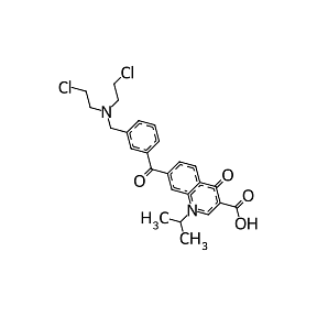 CC(C)n1cc(C(=O)O)c(=O)c2ccc(C(=O)c3cccc(CN(CCCl)CCCl)c3)cc21